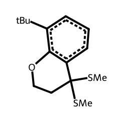 CSC1(SC)CCOc2c(C(C)(C)C)cccc21